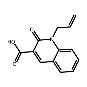 C=CCn1c(=O)c(C(=O)O)cc2ccccc21